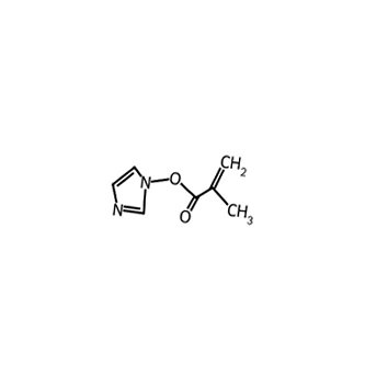 C=C(C)C(=O)On1ccnc1